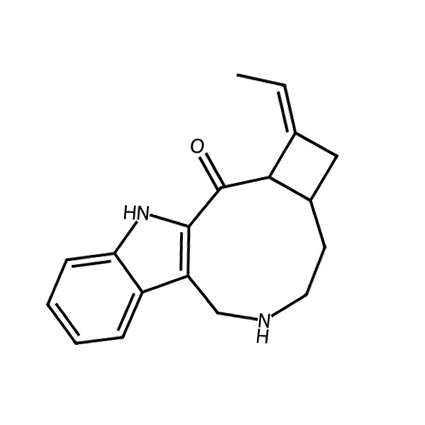 C/C=C1/CC2CCNCc3c([nH]c4ccccc34)C(=O)C12